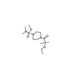 CCOC(C)(C)C(=O)N1CCN(P(=O)(OC)N(C)C)CC1